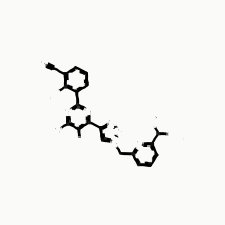 COC(C)c1cccc(Cn2cc(-c3nc(-c4cccc(C#N)c4C)nc(N)c3F)nn2)n1